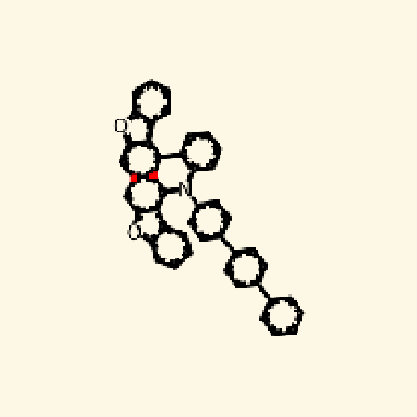 c1ccc(-c2ccc(-c3ccc(N(c4ccccc4-c4cccc5oc6ccccc6c45)c4cccc5oc6ccccc6c45)cc3)cc2)cc1